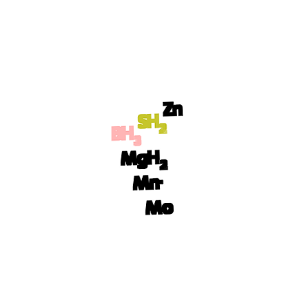 B.S.[MgH2].[Mn].[Mo].[Zn]